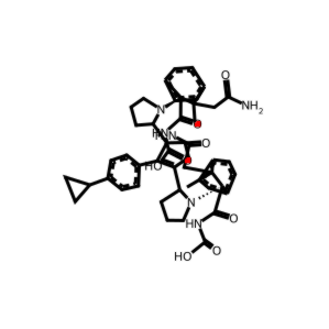 CC1(CC(N)=O)c2ccc(cc2)[C@]1(C(=O)NC(=O)O)N1CCCC1C1=C(c2ccc(C3CC3)cc2)C(C2CCCN2[C@@]2(C(=O)NC(=O)O)c3ccc(cc3)C2(C)CC(N)=O)CC1